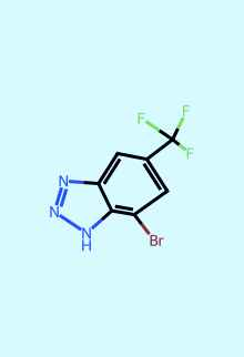 FC(F)(F)c1cc(Br)c2[nH]nnc2c1